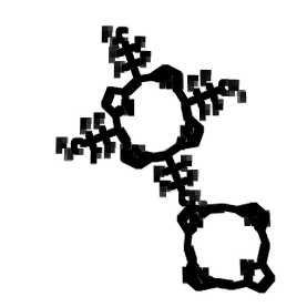 C1=Cc2cc3ccc(cc4nc(cc5ccc(cc1n2)[nH]5)C=C4)[nH]3.FC(F)(F)C(F)(F)C(F)(F)c1c2nc(c(C(F)(F)C(F)(F)C(F)(F)F)c3ccc([nH]3)c(C(F)(F)C(F)(F)C(F)(F)F)c3nc(c(C(F)(F)C(F)(F)C(F)(F)F)c4ccc1[nH]4)C=C3)C=C2